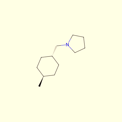 C[C@H]1CC[C@H](CN2CCCC2)CC1